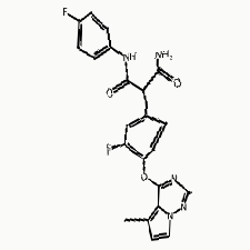 Cc1ccn2ncnc(Oc3ccc(C(C(N)=O)C(=O)Nc4ccc(F)cc4)cc3F)c12